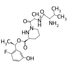 CC(C)[C@H](N)C(=O)N[C@@H](C)C(=O)N1CCC[C@@H](C(=O)O[C@H](C)c2cc(O)ccc2F)N1